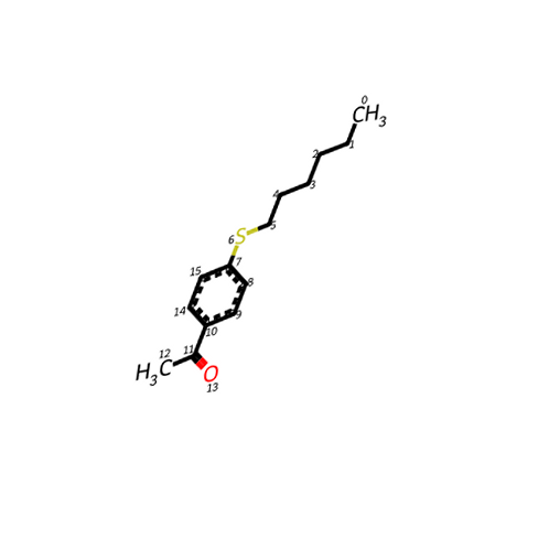 CCCCCCSc1ccc(C(C)=O)cc1